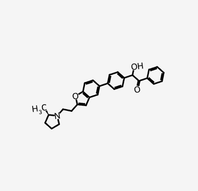 C[C@@H]1CCCN1CCc1cc2cc(-c3ccc(C(O)C(=O)c4ccccc4)cc3)ccc2o1